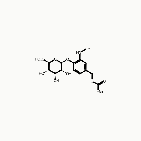 CC(C)Nc1cc(COC(=O)C(C)(C)C)ccc1O[C@@H]1O[C@H](C(=O)O)[C@@H](O)[C@H](O)[C@H]1O